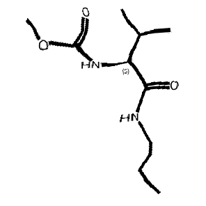 CCCNC(=O)[C@@H](NC(=O)OC)C(C)C